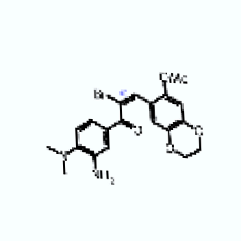 COc1cc2c(cc1/C=C(/Br)C(=O)c1ccc(N(C)C)c(N)c1)OCCO2